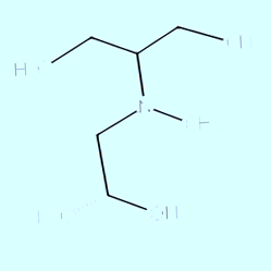 CCC(CC)N(C)C[C@@H](C)O